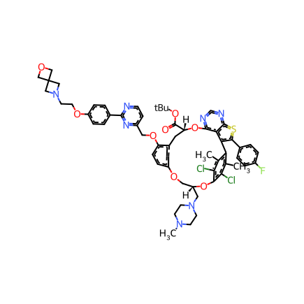 Cc1c(Cl)c2c(Cl)c(C)c1-c1c(-c3ccc(F)cc3)sc3ncnc(c13)O[C@@H](C(=O)OC(C)(C)C)Cc1cc(ccc1OCc1ccnc(-c3ccc(OCCN4CC5(COC5)C4)cc3)n1)OC[C@@H](CN1CCN(C)CC1)O2